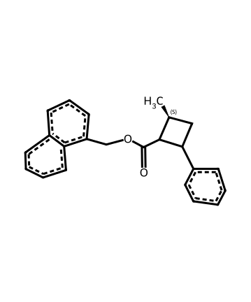 C[C@H]1CC(c2ccccc2)C1C(=O)OCc1cccc2ccccc12